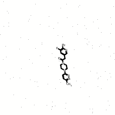 Cc1ccc(N2CCN(C(=O)Cc3cnc(C(C)C)c(F)c3)CC2)nn1